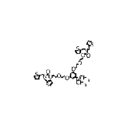 CN(C)c1cc(OCCOCCOC(=O)N(Cc2cccs2)Cc2cccs2)cc(OCCOCCOC(=O)N(Cc2cccs2)Cc2cccs2)c1